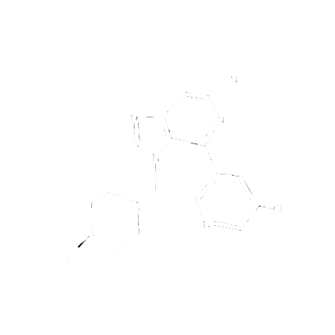 C[C@H]1CC[C@H](Cn2cnc3cc(C#N)nc(-c4cncc(Cl)c4)c32)CC1